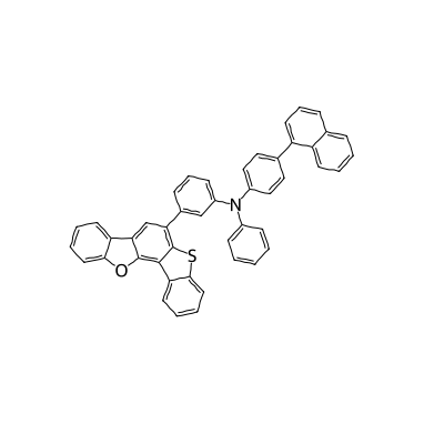 c1ccc(N(c2ccc(-c3cccc4ccccc34)cc2)c2cccc(-c3cc4c5ccccc5oc4c4c3sc3ccccc34)c2)cc1